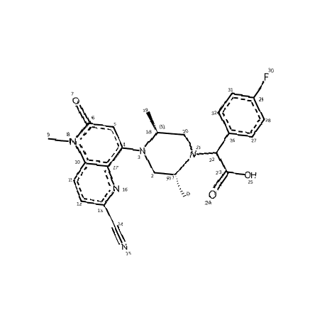 C[C@@H]1CN(c2cc(=O)n(C)c3ccc(C#N)nc23)[C@@H](C)CN1C(C(=O)O)c1ccc(F)cc1